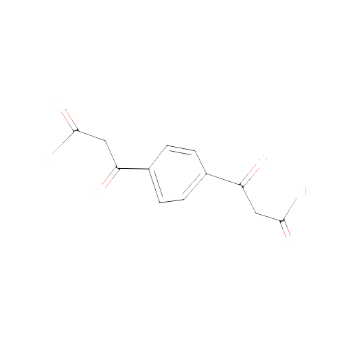 O=C(Cl)CC(=O)c1ccc(C(=O)CC(=O)Cl)cc1